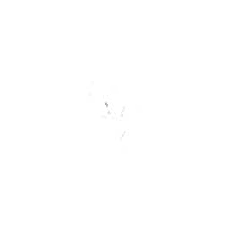 CC=CC1=C(C)CC(CC)=C1